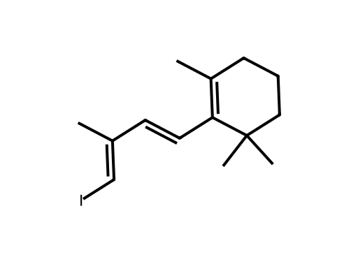 CC(C=CC1=C(C)CCCC1(C)C)=CI